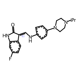 CC(C)N1CCN(c2ccc(N/C=C3/C(=O)Nc4cc(F)ccc43)cc2)CC1